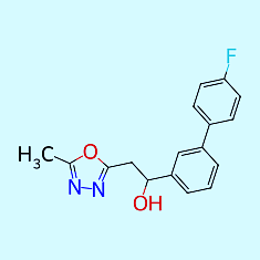 Cc1nnc(CC(O)c2cccc(-c3ccc(F)cc3)c2)o1